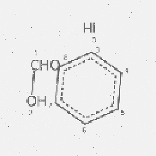 I.O=CO.c1ccccc1